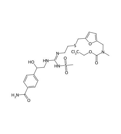 CN(Cc1ccc(CSCCN=C(NCC(O)c2ccc(C(N)=O)cc2)NS(C)(=O)=O)o1)C(=O)OCC(Cl)(Cl)Cl